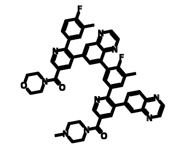 Cc1cc(-c2ncc(C(=O)N3CCOCC3)cc2-c2cc(-c3cc(-c4ncc(C(=O)N5CCN(C)CC5)cc4-c4ccc5nccnc5c4)cc(C)c3F)c3nccnc3c2)ccc1F